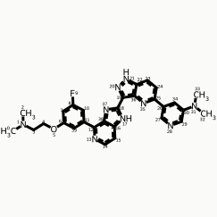 CN(C)CCOc1cc(F)cc(-c2nccc3[nH]c(-c4n[nH]c5ccc(-c6cncc(N(C)C)c6)nc45)nc23)c1